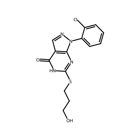 O=c1[nH]c(SCCCO)nc2c1cnn2-c1ccccc1Cl